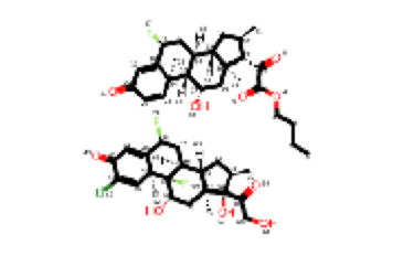 CCCCOC(=O)C(=O)[C@H]1[C@H](C)C[C@H]2[C@@H]3C[C@H](F)C4=CC(=O)C=C[C@]4(C)[C@H]3[C@@H](O)C[C@@]21C.C[C@@H]1C[C@H]2[C@@H]3C[C@H](F)C4=CC(=O)C(Cl)=C[C@]4(C)[C@@]3(F)[C@@H](O)C[C@]2(C)[C@@]1(O)C(=O)CO